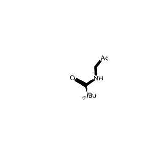 CC[C@H](C)C(=O)NCC(C)=O